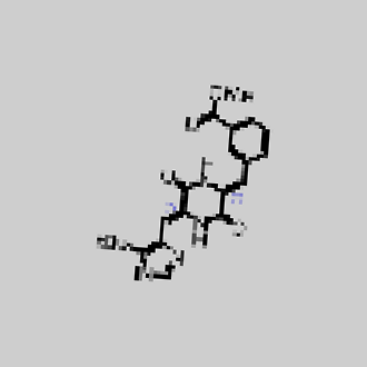 COC(=O)c1cccc(/C=c2\[nH]c(=O)/c(=C/c3nc[nH]c3C(C)(C)C)[nH]c2=O)c1